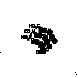 CCc1cc(-c2nc(-c3ccc4c(cnn4CCC(=O)O)c3)no2)ccc1C1CCCCC1.CCc1cc(-c2nc(-c3ccc4c(cnn4CCC(=O)O)c3)no2)ccc1N1CCCCC1.COc1ccc(-c2nc(-c3ccc4c(cnn4CCC(=O)O)c3)no2)cc1Cl